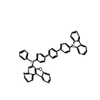 c1ccc(N(c2ccc(-c3ccc(-c4ccc(-n5c6ccccc6c6ccccc65)cc4)cc3)cc2)c2cc3ccccc3c3c2oc2ccccc23)cc1